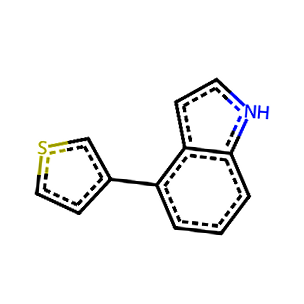 c1cc(-c2ccsc2)c2cc[nH]c2c1